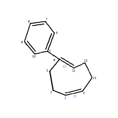 C1=C\CC/C(c2ccccc2)=C/CC/1